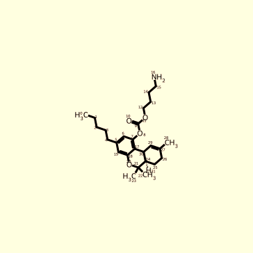 CCCCCc1cc(OC(=O)OCCCCN)c2c(c1)OC(C)(C)[C@@H]1CCC(C)=CC21